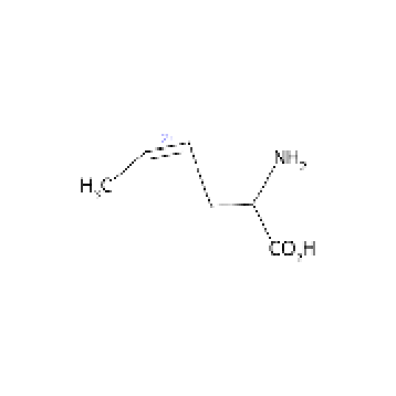 C/C=C\CC(N)C(=O)O